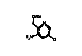 COCc1ncc(Cl)cc1N